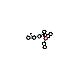 c1cc(-c2ccc3ccccc3c2)cc(N(c2ccc(-c3ccc4c(c3)sc3ccccc34)cc2)c2ccccc2-c2cccc3ccccc23)c1